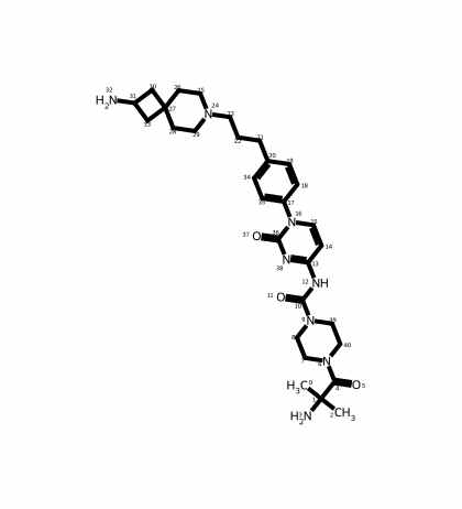 CC(C)(N)C(=O)N1CCN(C(=O)Nc2ccn(-c3ccc(CCCN4CCC5(CC4)CC(N)C5)cc3)c(=O)n2)CC1